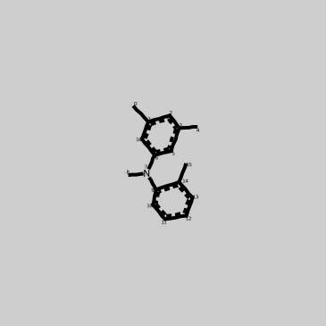 Cc1cc(C)cc(N(C)c2ccccc2C)c1